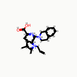 C=CCn1c(C)c(C)c2cc(C(=O)O)nc(N3CCc4ccccc4C3)c21